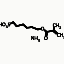 C=C(C)C(=O)OCCCCCCS(=O)(=O)O.N